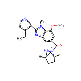 CCc1ccncc1-c1nc2cc(C(=O)N3C[C@H]4CC[C@@H]3[C@@H]4N)cc(OC)c2n1C